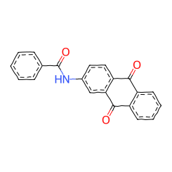 O=C(Nc1ccc2c(c1)C(=O)c1ccccc1C2=O)c1ccccc1